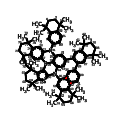 CC1(C)CCC(C)(C)c2cc(N3c4cc5c6cc4B4c7c3cc(-c3cc8c(cc3-c3ccccc3)C(C)(C)CCC8(C)C)cc7N(c3ccc7c(c3)C(C)(C)CCC7(C)C)c3sc7c(c34)C(C)(CCC7(C)C)CC6(C)CCC5(C)C)ccc21